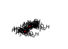 CC(=O)O[C@H]1C[C@@]2(C)[C@@H](C[C@@H](O)[C@H]3[C@@]4(C)CC[C@@H](O)[C@@H](N)[C@@H]4CC[C@@]32CN)/C1=C(/C(=O)O)C1CCC(C(N)c2cn([C@@]34CC[C@@]5(N)[C@@H]([C@H](O)C[C@H]6/C(=C(/C(=O)O)C7CCCC(=C(C)C)C7)[C@@H](OC(C)=O)C[C@@]65C)[C@@]3(C)CC[C@@H](O)[C@H]4C)nn2)C(=C2CCCC2)C1